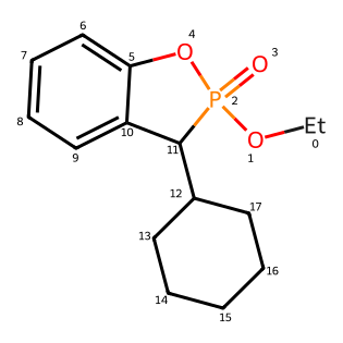 CCOP1(=O)Oc2ccccc2C1C1CCCCC1